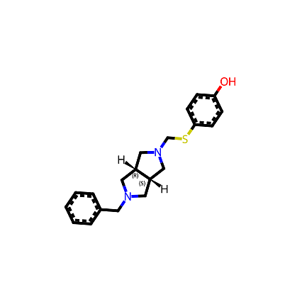 Oc1ccc(SCN2C[C@@H]3CN(Cc4ccccc4)C[C@@H]3C2)cc1